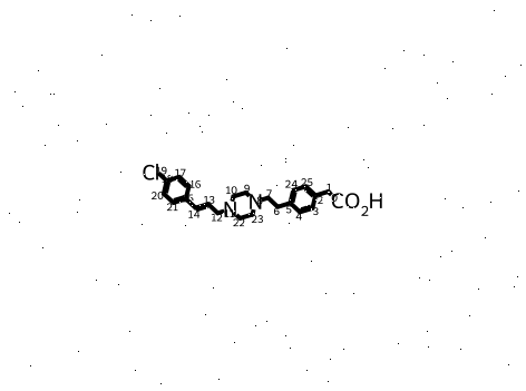 O=C(O)Cc1ccc(CCN2CCN(C/C=C/c3ccc(Cl)cc3)CC2)cc1